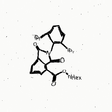 CCCCCCOC(=O)c1cccc2c1C(=O)N(c1c(C(C)C)cccc1C(C)C)C2=O